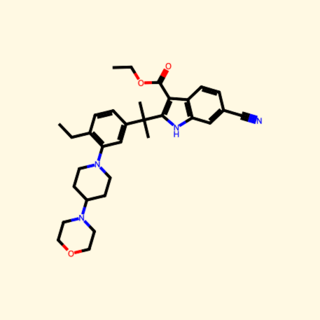 CCOC(=O)c1c(C(C)(C)c2ccc(CC)c(N3CCC(N4CCOCC4)CC3)c2)[nH]c2cc(C#N)ccc12